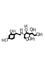 O=C[C@H](NCCc1ccc(O)cc1O)[C@@H](O)[C@H](O)[C@H](O)CO